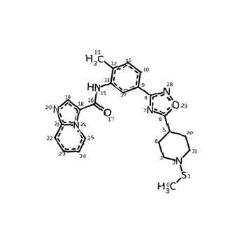 CSN1CCC(c2nc(-c3ccc(C)c(NC(=O)c4cnc5ccccn45)c3)no2)CC1